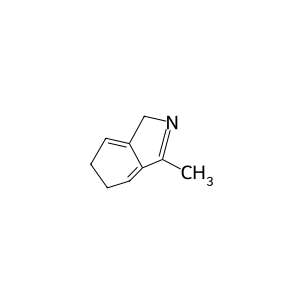 CC1=NCC2=CCCC=C21